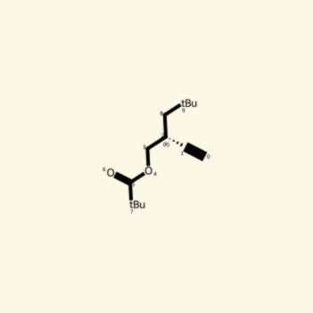 C#C[C@H](COC(=O)C(C)(C)C)CC(C)(C)C